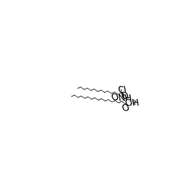 CCCCCCCCCCCCCC(=O)C[C@H](N)C(=O)O.CCCCCCCCCCCCCC(=O)Cl